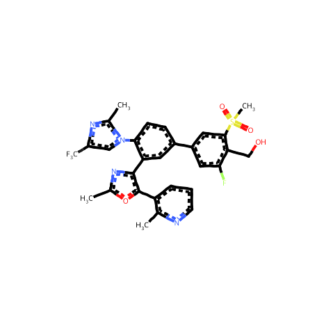 Cc1nc(-c2cc(-c3cc(F)c(CO)c(S(C)(=O)=O)c3)ccc2-n2cc(C(F)(F)F)nc2C)c(-c2cccnc2C)o1